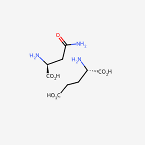 NC(=O)C[C@H](N)C(=O)O.N[C@@H](CCC(=O)O)C(=O)O